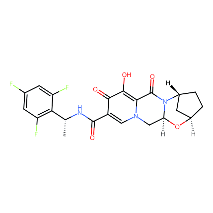 C[C@@H](NC(=O)c1cn2c(c(O)c1=O)C(=O)N1[C@@H]3CC[C@H](C3)O[C@H]1C2)c1c(F)cc(F)cc1F